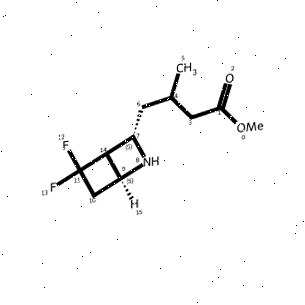 COC(=O)CC(C)C[C@@H]1N[C@H]2CC(F)(F)C12